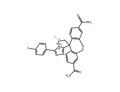 C[C@@H](N)CC1(c2nnc(-c3ccc(F)cc3)[nH]2)c2ccc(C(N)=O)cc2CCc2cc(C(N)=O)ccc21